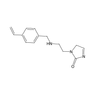 C=Cc1ccc(CNCCN2CC=NC2=O)cc1